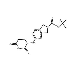 CC(C)(C)OC(=O)N1Cc2cnc(NC3CCC(=O)NC3=O)nc2C1